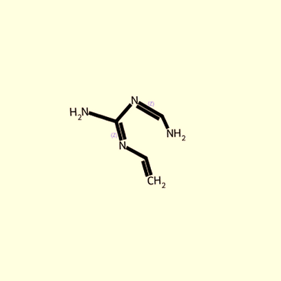 C=C/N=C(N)\N=C/N